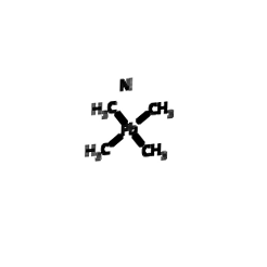 [CH3][Pb]([CH3])([CH3])[CH3].[N]